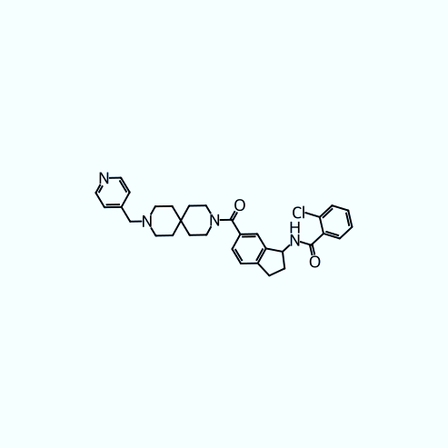 O=C(NC1CCc2ccc(C(=O)N3CCC4(CCN(Cc5ccncc5)CC4)CC3)cc21)c1ccccc1Cl